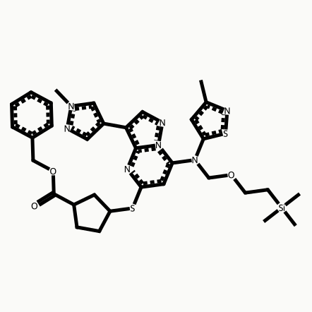 Cc1cc(N(COCC[Si](C)(C)C)c2cc(SC3CCC(C(=O)OCc4ccccc4)C3)nc3c(-c4cnn(C)c4)cnn23)sn1